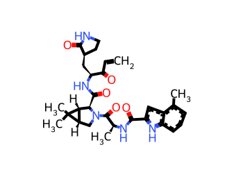 C=CC(=O)[C@H](C[C@@H]1CCNC1=O)NC(=O)[C@@H]1[C@@H]2[C@H](CN1C(=O)[C@H](C)NC(=O)c1cc3c(C)cccc3[nH]1)C2(C)C